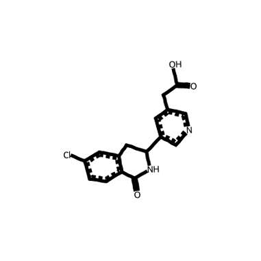 O=C(O)Cc1cncc(C2Cc3cc(Cl)ccc3C(=O)N2)c1